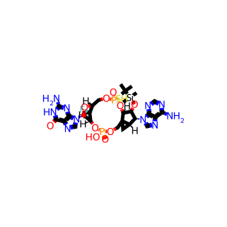 CC(C)(C)[Si](C)(C)OC1[C@H](n2cnc3c(N)ncnc32)[C@H]2CC23COP(=O)(O)O[C@@H]2[C@H](F)[C@@H](COP(=O)(S)O[C@@H]13)O[C@H]2n1cnc2c(=O)[nH]c(N)nc21